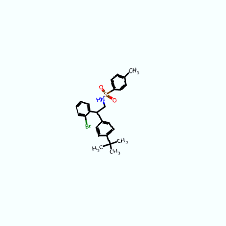 Cc1ccc(S(=O)(=O)NCC(c2ccc(C(C)(C)C)cc2)c2ccccc2Br)cc1